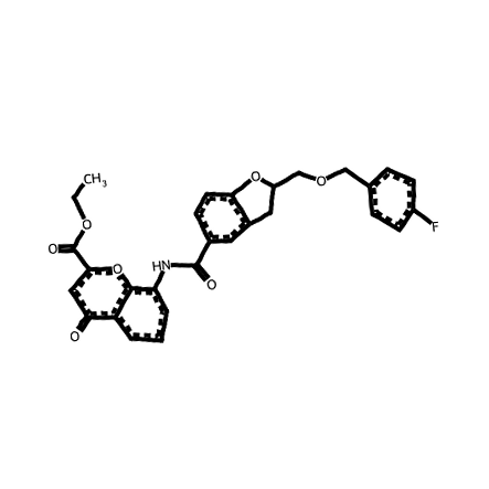 CCOC(=O)c1cc(=O)c2cccc(NC(=O)c3ccc4c(c3)CC(COCc3ccc(F)cc3)O4)c2o1